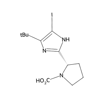 CC(C)(C)c1nc([C@@H]2CCCN2C(=O)O)[nH]c1I